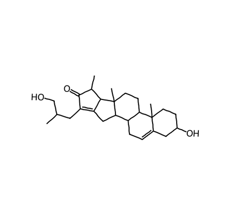 CC(CO)CC1=C2CC3C4CC=C5CC(O)CCC5(C)C4CCC3(C)C2C(C)C1=O